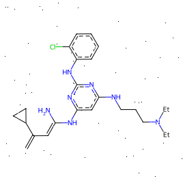 C=C(/C=C(\N)Nc1cc(NCCCN(CC)CC)nc(Nc2ccccc2Cl)n1)C1CC1